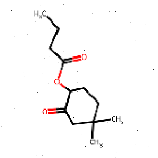 CCCC(=O)OC1CCC(C)(C)CC1=O